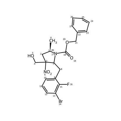 C[C@@H]1CC(CO)([N+](=O)[O-])C(Cc2cccc(Br)c2F)N1C(=O)OCc1ccccc1